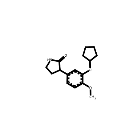 COc1ccc(C2CCNC2=O)cc1OC1CCCC1